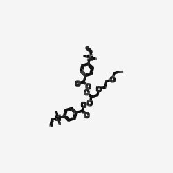 [CH2]COCCOC[C](OOC(=O)c1ccc([Si](C)(C)C=C)cc1)OOC(=O)c1ccc([Si](C)(C)C=C)cc1